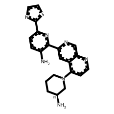 Nc1ccc(-c2nccs2)nc1-c1cc2c(N3CCC[C@H](N)C3)ccnc2cn1